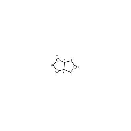 C1OC2COCC2O1